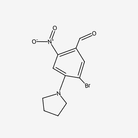 O=Cc1cc(Br)c(N2CCCC2)cc1[N+](=O)[O-]